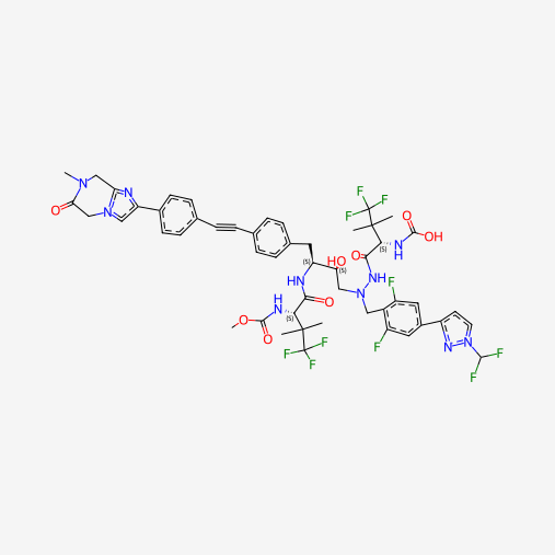 COC(=O)N[C@H](C(=O)N[C@@H](Cc1ccc(C#Cc2ccc(-c3cn4c(n3)CN(C)C(=O)C4)cc2)cc1)[C@@H](O)CN(Cc1c(F)cc(-c2ccn(C(F)F)n2)cc1F)NC(=O)[C@@H](NC(=O)O)C(C)(C)C(F)(F)F)C(C)(C)C(F)(F)F